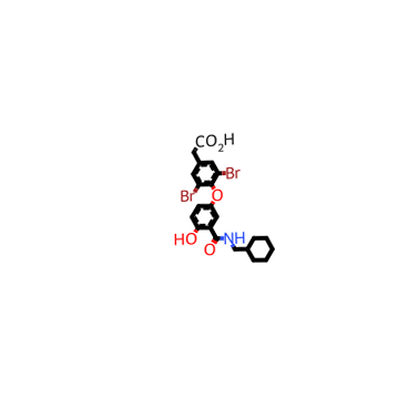 O=C(O)Cc1cc(Br)c(Oc2ccc(O)c(C(=O)NCC3CCCCC3)c2)c(Br)c1